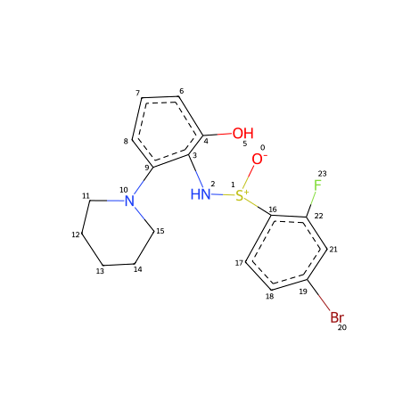 [O-][S+](Nc1c(O)cccc1N1CCCCC1)c1ccc(Br)cc1F